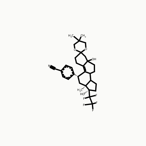 CC1(C)COC2(CCC3=C4C(CCC3(O)C2)C2CC[C@@](O)(C(F)(F)C(F)(F)F)[C@@]2(C)C[C@@H]4c2ccc(C#N)cc2)OC1